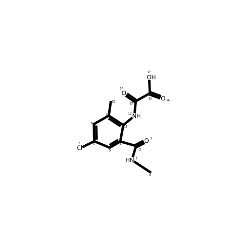 CNC(=O)c1cc(Cl)cc(C)c1NC(=O)C(=O)O